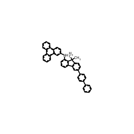 CC1(C)c2ccc(-c3ccc(-c4ccccc4)cc3)cc2-c2cccc(Nc3ccc4c5ccccc5c5ccccc5c4c3)c21